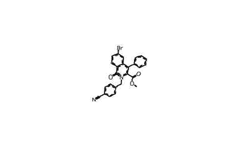 COC(=O)c1c(-c2ccccc2)c2cc(Br)ccc2c(=O)n1Cc1ccc(C#N)cc1